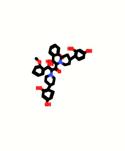 COc1ccccc1[C@@H](O)C(C(=O)C([C@H](O)c1ccccc1OC)N1CCC(c2ccc(O)cc2O)CC1)N1CCC(c2ccc(O)cc2O)CC1